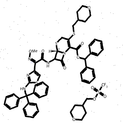 CO/N=C(\C(=O)NC1C(=O)N2C(C(=O)OC(c3ccccc3)c3ccccc3)=C(SCC3CCOCC3)CS[C@@H]12)c1csc(NC(c2ccccc2)(c2ccccc2)c2ccccc2)n1.O=S(=O)(OCC1CCOCC1)C(F)(F)F